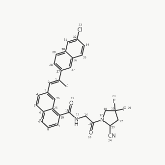 CC(=Cc1ccc2nccc(C(=O)NCC(=O)N3CC(F)(F)CC3C#N)c2c1)c1ccc2cc(Cl)ccc2c1